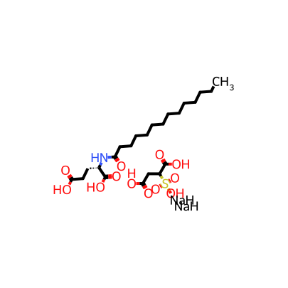 CCCCCCCCCCCCCC(=O)N[C@@H](CCC(=O)O)C(=O)O.O=C(O)CC(C(=O)O)S(=O)(=O)O.[NaH].[NaH]